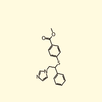 COC(=O)c1ccc(SC(Cn2ccnc2)c2ccccc2)cc1